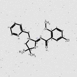 COc1ccc(Cl)cc1C(=O)/N=C1\SC(C)(C)CN1Cc1ccccn1